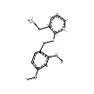 COc1ccc(CNc2ncccc2CN)c(OC)c1